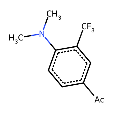 CC(=O)c1ccc(N(C)C)c(C(F)(F)F)c1